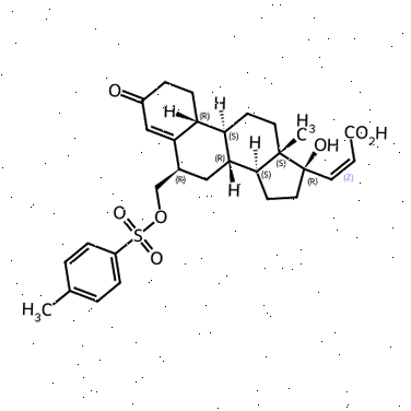 Cc1ccc(S(=O)(=O)OC[C@@H]2C[C@@H]3[C@H](CC[C@@]4(C)[C@H]3CC[C@@]4(O)/C=C\C(=O)O)[C@H]3CCC(=O)C=C23)cc1